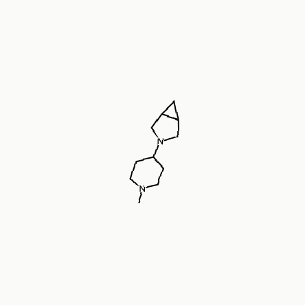 CN1CCC(N2CC3CC3C2)CC1